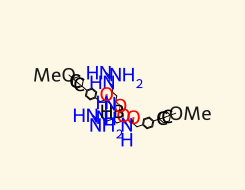 COC12CCC(c3ccc(CC(=O)NC(CCCNC(=N)N)OBOC(CCCNC(=N)N)NC(=O)Cc4ccc(C56CCC(OC)(CC5)CC6)cc4)cc3)(CC1)CC2